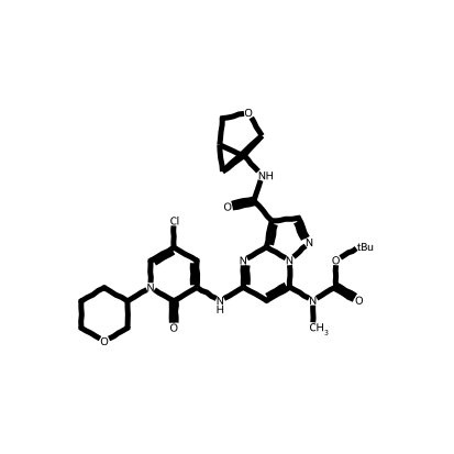 CN(C(=O)OC(C)(C)C)c1cc(Nc2cc(Cl)cn(C3CCCOC3)c2=O)nc2c(C(=O)NC34C5COC3C54)cnn12